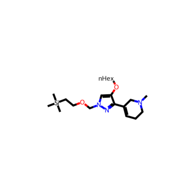 CCCCCCOc1cn(COCC[Si](C)(C)C)nc1C1=CCCN(C)C1